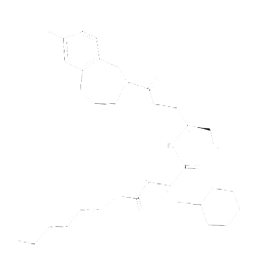 CCCCCCOC(=O)N[C@@H](CC1CCCCC1)C(=O)N[C@H](CO)CCC(=O)N1CCOc2cc(C)ccc2C1